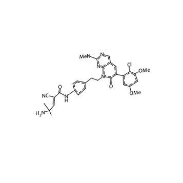 CNc1ncc2cc(-c3cc(OC)cc(OC)c3Cl)c(=O)n(CCc3ccc(NC(=O)C(C#N)=CC(C)(C)N)cc3)c2n1